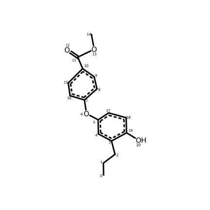 CCCc1cc(Oc2ccc(C(=O)OC)cc2)ccc1O